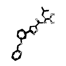 CC(C)C[C@H](NC(=O)C1CC(c2cccc(OCc3ccccn3)c2)=NO1)B(O)O